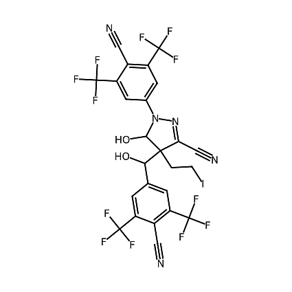 N#CC1=NN(c2cc(C(F)(F)F)c(C#N)c(C(F)(F)F)c2)C(O)C1(CCI)C(O)c1cc(C(F)(F)F)c(C#N)c(C(F)(F)F)c1